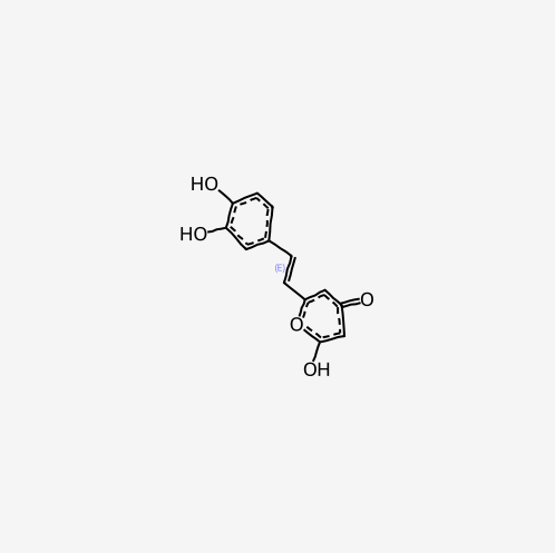 O=c1cc(O)oc(/C=C/c2ccc(O)c(O)c2)c1